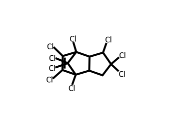 ClC1=C(Cl)C2(Cl)C3C(Cl)C(Cl)(Cl)CC3C1(Cl)C2(Cl)Cl